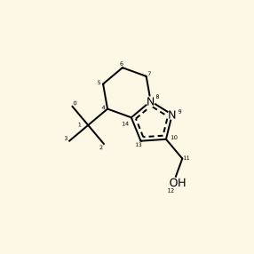 CC(C)(C)C1CCCn2nc(CO)cc21